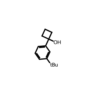 CC(C)(C)c1cccc(C2(O)CCC2)c1